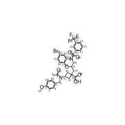 COc1ccc(CN(C(C)=O)C2CC(CC3CN(S(=O)(=O)c4cccc(C(F)(F)F)c4)c4cc(Br)ccc4O3)(C(=O)O)C2)cc1